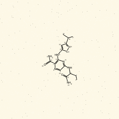 CCC(Nc1cnc(C(N)=O)c(Nc2cc(C(C)C)ns2)n1)C(N)=O